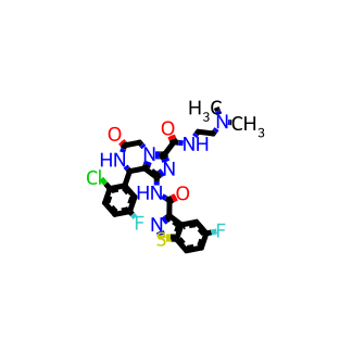 CN(C)CCNC(=O)c1nc(NC(=O)c2nsc3ccc(F)cc23)c2n1CC(=O)NC2c1cc(F)ccc1Cl